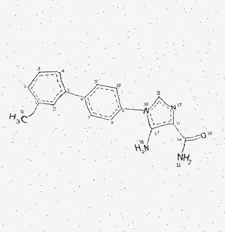 Cc1cccc(-c2ccc(-n3cnc(C(N)=O)c3N)cc2)c1